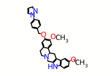 COc1ccc2[nH]c3c(c2c1)CC1c2cc(OC)c(OCc4ccc(-n5cccn5)cc4)cc2CCN1C3